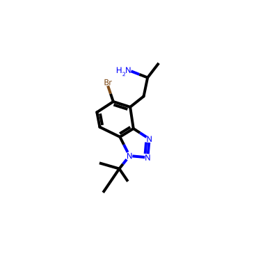 CC(N)Cc1c(Br)ccc2c1nnn2C(C)(C)C